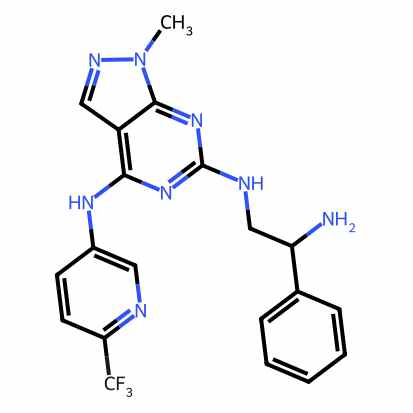 Cn1ncc2c(Nc3ccc(C(F)(F)F)nc3)nc(NCC(N)c3ccccc3)nc21